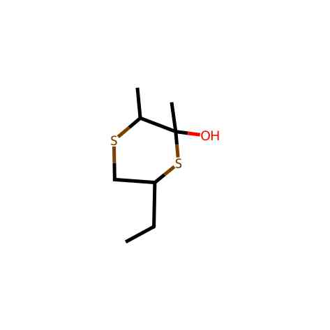 CCC1CSC(C)C(C)(O)S1